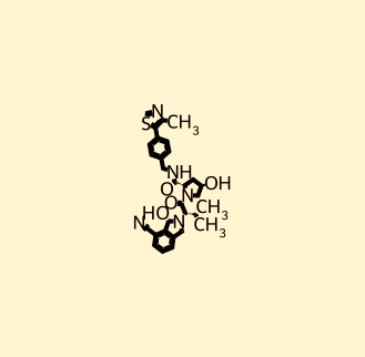 Cc1ncsc1-c1ccc(CNC(=O)[C@@H]2C[C@@H](O)CN2C(=O)[C@H](C(C)C)N2Cc3cccc(C#N)c3C2O)cc1